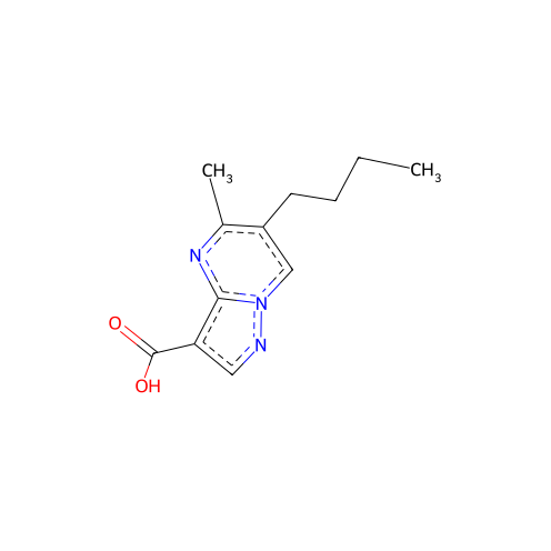 CCCCc1cn2ncc(C(=O)O)c2nc1C